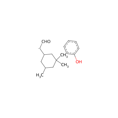 CC1CC([CH]C=O)CC(C)(C)C1.Oc1ccccc1